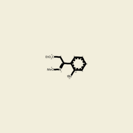 CCOC(=O)CC(=NOC)c1ccccc1C(C)(C)C